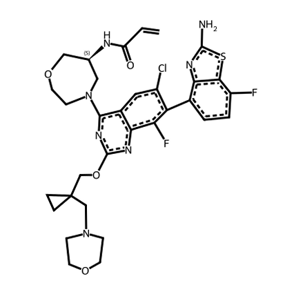 C=CC(=O)N[C@@H]1COCCN(c2nc(OCC3(CN4CCOCC4)CC3)nc3c(F)c(-c4ccc(F)c5sc(N)nc45)c(Cl)cc23)C1